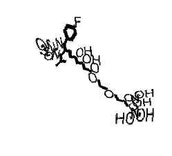 CC(C)c1nc(N(C)S(C)(=O)=O)nc(-c2ccc(F)cc2)c1/C=C/C(O)CC(O)CC(=O)OCCCOCCC(CON(O)O)ON(O)O